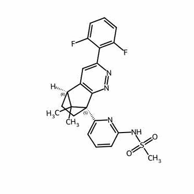 CC1(C)[C@H]2CC[C@]1(c1cccc(NS(C)(=O)=O)n1)c1nnc(-c3c(F)cccc3F)cc12